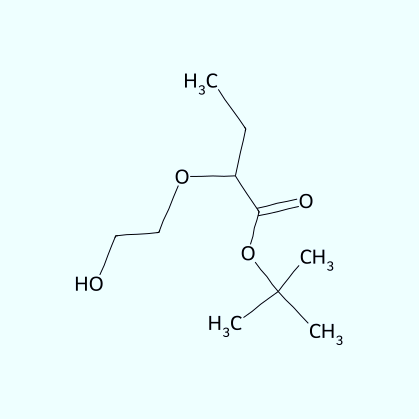 CCC(OCCO)C(=O)OC(C)(C)C